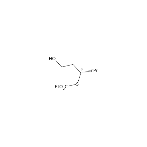 CCC[C@@H](CCO)SC(=O)OCC